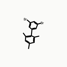 Cc1cc(C)c(-c2cc(Br)cc(Br)c2)c(C)c1